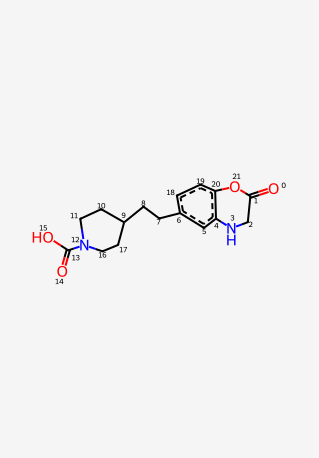 O=C1CNc2cc(CCC3CCN(C(=O)O)CC3)ccc2O1